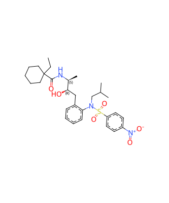 CCC1(C(=O)N[C@@H](C)[C@H](O)Cc2ccccc2N(CC(C)C)S(=O)(=O)c2ccc([N+](=O)[O-])cc2)CCCCC1